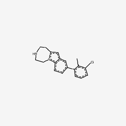 Cc1c(Cl)cccc1-c1ccc2c(c1)cc1n2CCNCC1